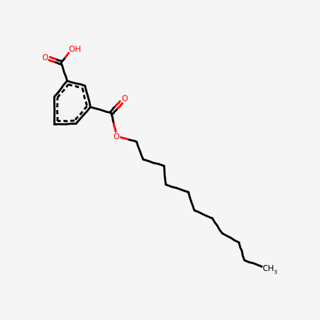 CCCCCCCCCCCOC(=O)c1cccc(C(=O)O)c1